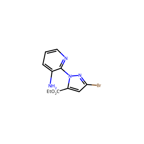 CCOC(=O)c1cc(Br)nn1-c1ncccc1N